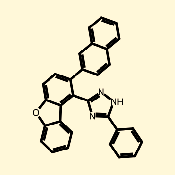 c1ccc(-c2nc(-c3c(-c4ccc5ccccc5c4)ccc4oc5ccccc5c34)n[nH]2)cc1